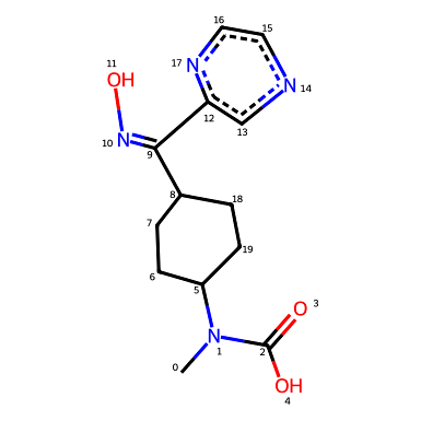 CN(C(=O)O)C1CCC(/C(=N/O)c2cnccn2)CC1